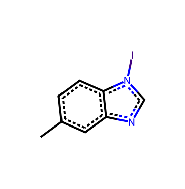 Cc1ccc2c(c1)ncn2I